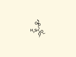 C=CC(=O)OCCC([SiH3])C(OCC)OCC